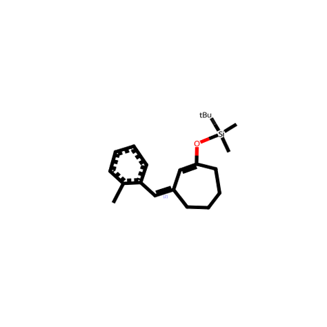 Cc1ccccc1/C=C1\C=C(O[Si](C)(C)C(C)(C)C)CCCC1